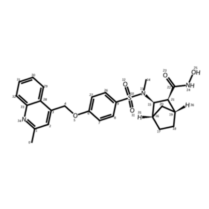 Cc1cc(COc2ccc(S(=O)(=O)N(C)[C@@H]3[C@H]4CC[C@H](C4)[C@@H]3C(=O)NO)cc2)c2ccccc2n1